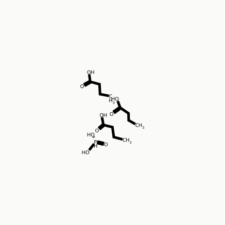 CCCC(=O)O.CCCC(=O)O.CCCC(=O)O.O=[PH](O)O